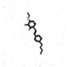 CCCCc1ccc(C=Cc2ccc(OCC)c(I)c2I)cc1